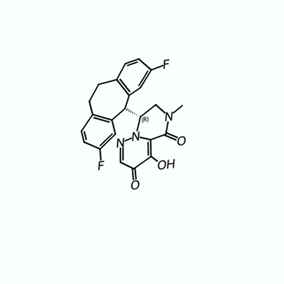 CN1C[C@@H](C2c3cc(F)ccc3CCc3ccc(F)cc32)n2ncc(=O)c(O)c2C1=O